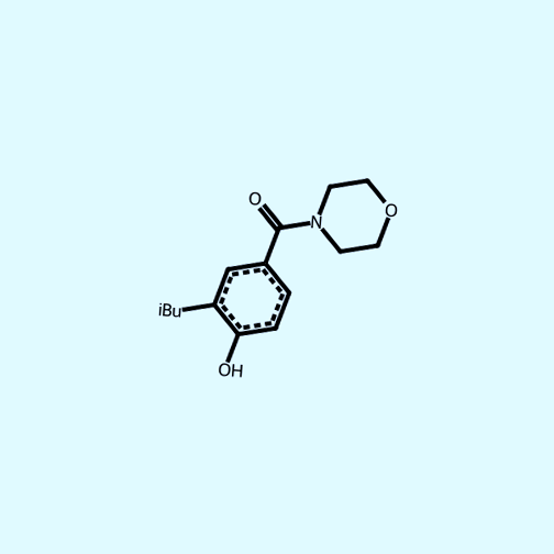 CCC(C)c1cc(C(=O)N2CCOCC2)ccc1O